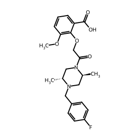 COc1cccc(C(=O)O)c1OCC(=O)N1C[C@@H](C)N(Cc2ccc(F)cc2)C[C@@H]1C